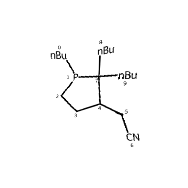 CCCCP1CCC(CC#N)C1(CCCC)CCCC